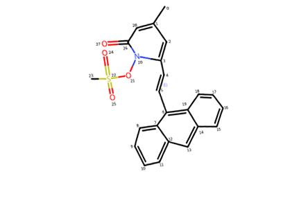 Cc1cc(/C=C/c2c3ccccc3cc3ccccc23)n(OS(C)(=O)=O)c(=O)c1